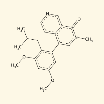 COc1cc(OC)c(CC(C)C)c(-c2cn(C)c(=O)c3cnccc23)c1